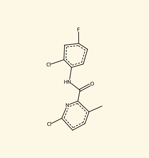 Cc1ccc(Cl)nc1C(=O)Nc1ccc(F)cc1Cl